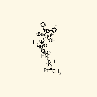 CCC1C(C)C1CC(=O)NCCNC(=O)[C@H]1CC[C@@H](NC(=O)[C@@H](N)CCN(C(=O)CO)[C@@H](c2cc(-c3cc(F)ccc3F)cn2Cc2ccccc2)C(C)(C)C)C1